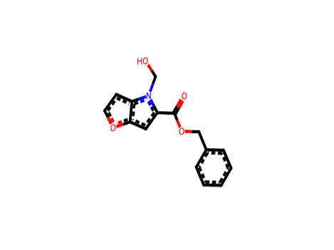 O=C(OCc1ccccc1)c1cc2occc2n1CO